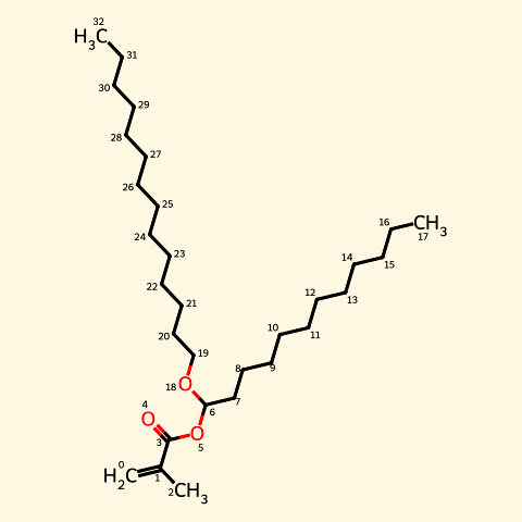 C=C(C)C(=O)OC(CCCCCCCCCCC)OCCCCCCCCCCCCCC